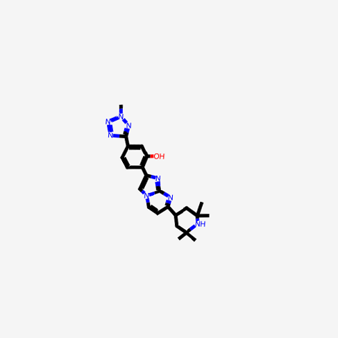 Cn1nnc(-c2ccc(-c3cn4ccc(C5CC(C)(C)NC(C)(C)C5)nc4n3)c(O)c2)n1